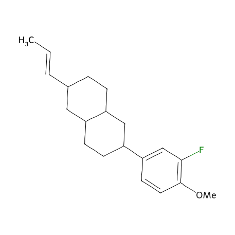 CC=CC1CCC2CC(c3ccc(OC)c(F)c3)CCC2C1